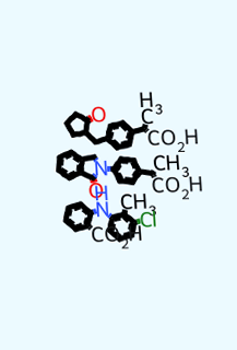 CC(C(=O)O)c1ccc(CC2CCCC2=O)cc1.CC(C(=O)O)c1ccc(N2Cc3ccccc3C2=O)cc1.Cc1c(Cl)cccc1Nc1ccccc1C(=O)O